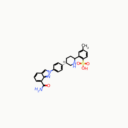 Cc1ccc(S(=O)(=O)O)c(C2CC[C@@H](c3ccc(-n4cc5cccc(C(N)=O)c5n4)cc3)CN2)c1